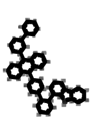 c1ccc(-c2cccc(-c3c4ccccc4c(-c4ccc(-c5ccccc5-c5cccc6c5oc5ccccc56)cc4)c4ccccc34)c2)cc1